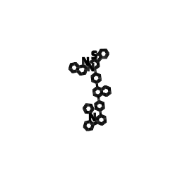 c1ccc(-n2c3ccccc3c3cccc(-c4ccc(-c5ccc(-c6ccc(-c7cc8c9ccccc9sc8c8nc9c%10ccccc%10ccc9n78)cc6)c6ccccc56)cc4)c32)cc1